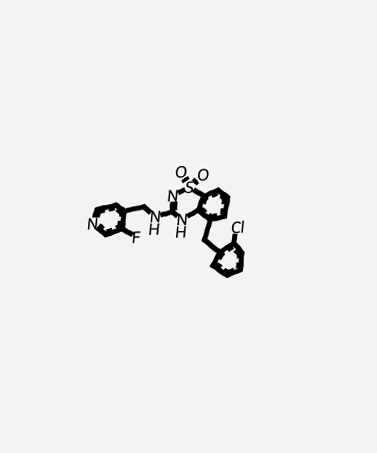 O=S1(=O)N=C(NCc2ccncc2F)Nc2c(Cc3ccccc3Cl)cccc21